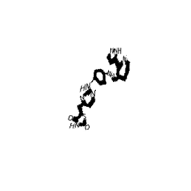 O=C1NC(=O)/C(=C/c2ccnc(N[C@H]3CC[C@H](NCc4cccnc4-c4ccn[nH]4)CC3)n2)S1